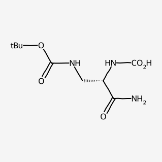 CC(C)(C)OC(=O)NC[C@H](NC(=O)O)C(N)=O